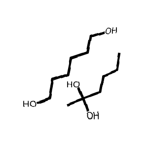 CCCCC(C)(O)O.OCCCCCCO